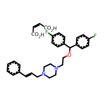 Fc1ccc(C(OCCN2CCN(C/C=C/c3ccccc3)CC2)c2ccc(F)cc2)cc1.O=C(O)/C=C\C(=O)O